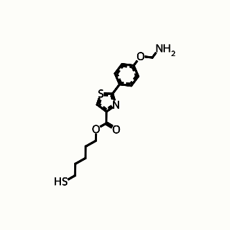 NCOc1ccc(-c2nc(C(=O)OCCCCCS)cs2)cc1